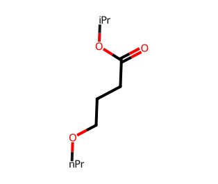 CCCOCCCC(=O)OC(C)C